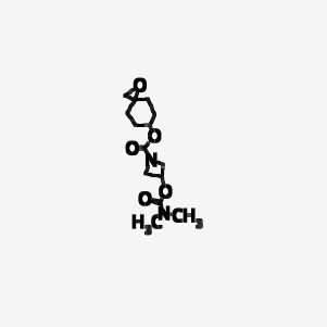 CN(C)C(=O)OC1CN(C(=O)OC2CCC3(CC2)CO3)C1